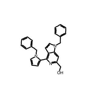 OCc1cc2c(ccn2Cc2ccccc2)c(-c2cccn2Cc2ccccc2)n1